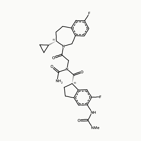 CNC(=O)Nc1cc2c(cc1F)[C@@H](C(=O)N(CC(=O)N1Cc3ccc(F)cc3CC[C@H]1C1CC1)C(N)=O)CC2